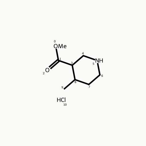 COC(=O)C1CNCCC1C.Cl